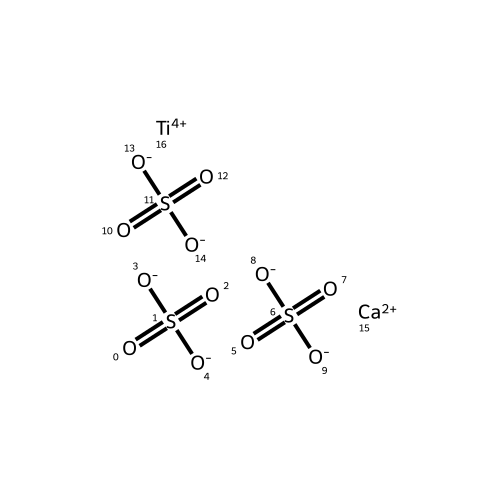 O=S(=O)([O-])[O-].O=S(=O)([O-])[O-].O=S(=O)([O-])[O-].[Ca+2].[Ti+4]